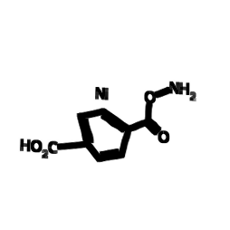 NOC(=O)c1ccc(C(=O)O)cc1.[Ni]